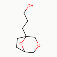 OCCCC12CCC(COC1)O2